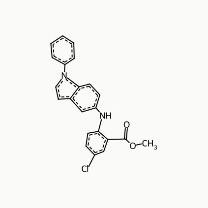 COC(=O)c1cc(Cl)ccc1Nc1ccc2c(ccn2-c2ccccc2)c1